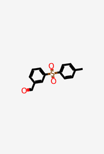 Cc1ccc(S(=O)(=O)c2cccc(C=O)c2)cc1